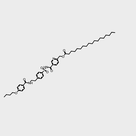 CCCCCCCCCCCCCCCCCC(=O)OCc1ccc(C(=O)NS(=O)(=O)c2ccc(CCNC(=O)c3ccc(OCCCC)cc3)cc2)cn1